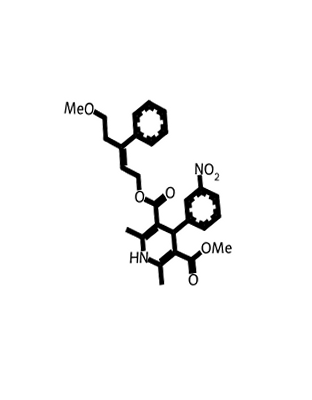 COCCC(=CCOC(=O)C1=C(C)NC(C)=C(C(=O)OC)C1c1cccc([N+](=O)[O-])c1)c1ccccc1